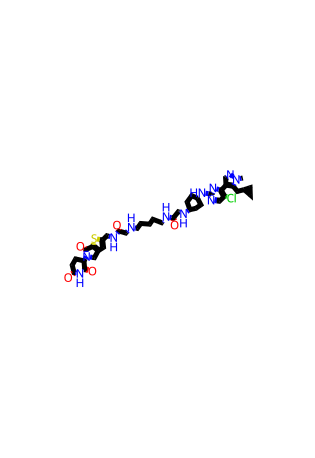 Cn1ncc(-c2nc(NC3CCC(NCC(=O)NCCCCCNCC(=O)NCc4cc5c(s4)C(=O)N(C4CCC(=O)NC4=O)C5)CC3)ncc2Cl)c1CC1CC1